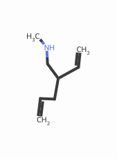 C=CCC(C=C)CNC